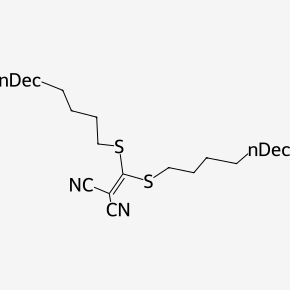 CCCCCCCCCCCCCCSC(SCCCCCCCCCCCCCC)=C(C#N)C#N